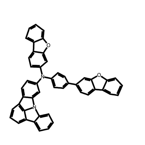 c1ccc2c(c1)oc1cc(-c3ccc(N(c4ccc5c(c4)oc4ccccc45)c4ccc5c6cccc7c8ccccc8n(c5c4)c76)cc3)ccc12